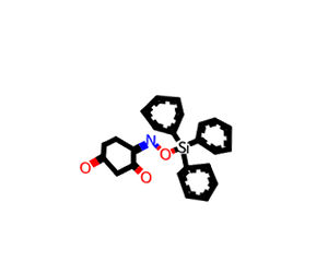 O=C1CCC(=NO[Si](c2ccccc2)(c2ccccc2)c2ccccc2)C(=O)C1